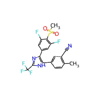 Cc1ccc(-c2[nH]c(C(F)(F)F)nc2-c2cc(F)c(S(C)(=O)=O)c(F)c2)cc1C#N